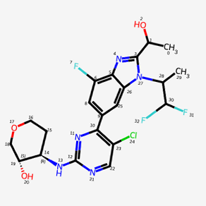 CC(O)c1nc2c(F)cc(-c3nc(N[C@@H]4CCOC[C@H]4O)ncc3Cl)cc2n1C(C)C(F)F